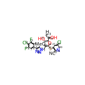 CO[C@@H](Cn1cc(-c2cc(F)c(Cl)c(F)c2)nn1)C(OC(CO)[C@@H](C)O)Sc1cc(Cl)cnc1C#N